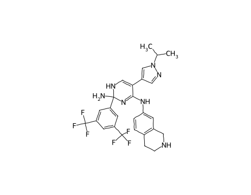 CC(C)n1cc(C2=CNC(N)(c3cc(C(F)(F)F)cc(C(F)(F)F)c3)N=C2Nc2ccc3c(c2)CNCC3)cn1